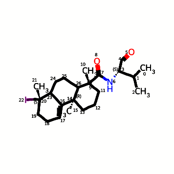 CC(C)[C@@H](C=O)NC(=O)[C@]1(C)CCC[C@@]2(C)C3=CCC[C@](C)(I)C3CCC12